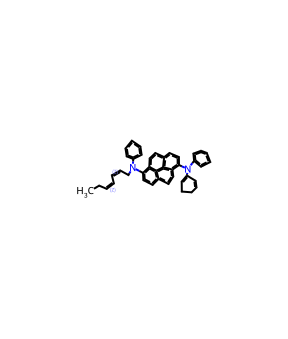 CC/C=C\C=C/CN(c1ccccc1)c1ccc2ccc3c(N(C4=CCCC=C4)c4ccccc4)ccc4ccc1c2c43